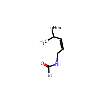 CCCCCCC(C)/C=C\CNC(=O)CC